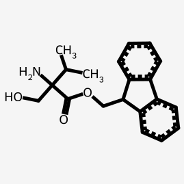 CC(C)C(N)(CO)C(=O)OCC1c2ccccc2-c2ccccc21